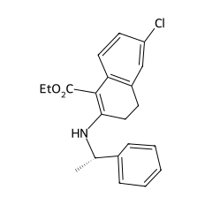 CCOC(=O)C1=C(N[C@@H](C)c2ccccc2)CCc2cc(Cl)ccc21